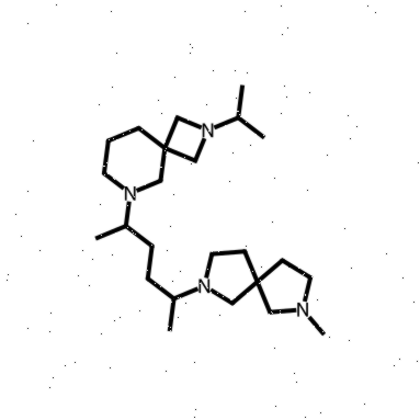 CC(C)N1CC2(CCCN(C(C)CCC(C)N3CCC4(CCN(C)C4)C3)C2)C1